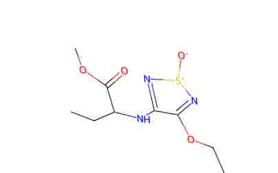 CCOc1n[s+]([O-])nc1NC(CC)C(=O)OC